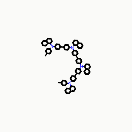 Cc1ccc(N(c2ccc(-c3ccc(N(c4ccc(-c5ccc(N(c6ccc(-c7ccc(N(c8ccc(C)cc8)c8cccc9ccccc89)cc7)cc6)c6cccc7ccccc67)cc5)cc4)c4cccc5ccccc45)cc3)cc2)c2cccc3ccccc23)cc1